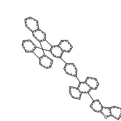 c1ccc2c(c1)-c1ccccc1C21c2cc3ccccc3cc2-c2c1cc(-c1ccc(-c3c4ccccc4c(-c4ccc5oc6ccccc6c5c4)c4ccccc34)cc1)c1ccccc21